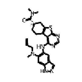 C=CCN(C)c1cc2[nH]ncc2cc1Nc1ncnc2sc3c(c12)CC[C@H](C(=O)N(C)C)C3